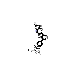 CN(C)S(=O)(=O)c1ccc(-c2cncc3cc(/C=C4/SC(=S)NC4=O)oc23)cc1